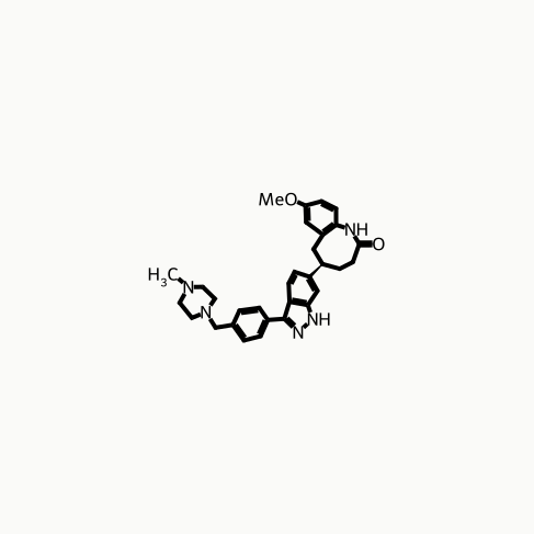 COc1ccc2c(c1)C[C@H](c1ccc3c(-c4ccc(CN5CCN(C)CC5)cc4)n[nH]c3c1)CCC(=O)N2